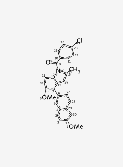 COc1ccc2cc(-c3c(OC)ccc4c3[c]c(C)n4C(=O)c3ccc(Cl)cc3)ccc2c1